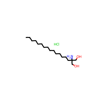 CCCCCCCCCCCCCCCC(N)(CO)CO.Cl